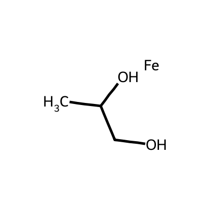 CC(O)CO.[Fe]